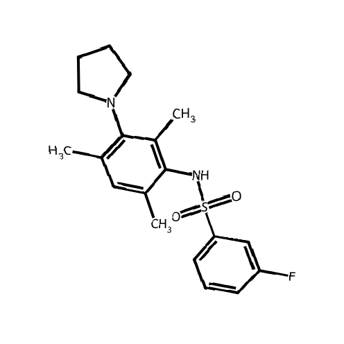 Cc1cc(C)c(N2CCCC2)c(C)c1NS(=O)(=O)c1cccc(F)c1